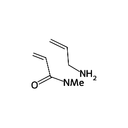 C=CC(=O)NC.C=CCN